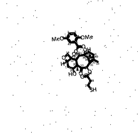 COc1ccc(OC)c(C(=O)O[C@H]2C3[C@]4(O)CO[C@@H]4C[C@H](O)[C@@]3(C)C(=O)[C@H](OC(=O)CCS)C3=C(C)CC[C@]2(O)C3(C)C)c1